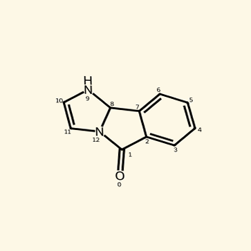 O=C1c2ccccc2C2NC=CN12